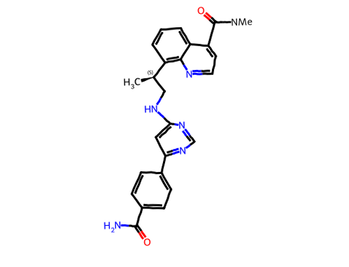 CNC(=O)c1ccnc2c([C@H](C)CNc3cc(-c4ccc(C(N)=O)cc4)ncn3)cccc12